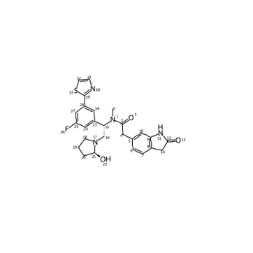 CN(C(=O)Cc1ccc2c(c1)NC(=O)C2)[C@H](CN1CCC[C@@H]1O)c1cc(F)cc(-c2nccs2)c1